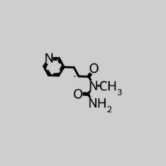 CN(C(N)=O)C(=O)[CH]Cc1cccnc1